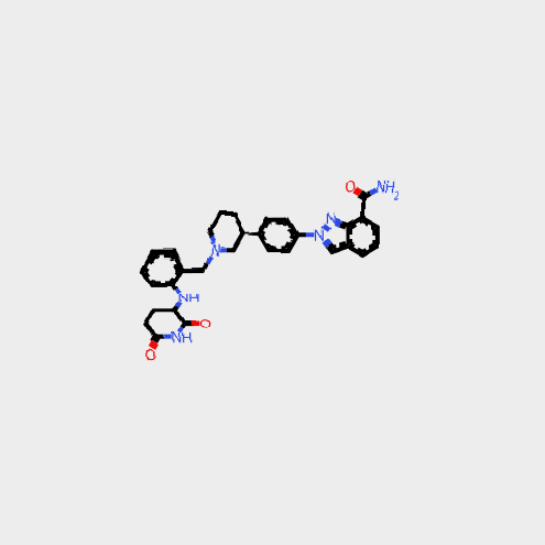 NC(=O)c1cccc2cn(-c3ccc([C@@H]4CCCN(Cc5ccccc5NC5CCC(=O)NC5=O)C4)cc3)nc12